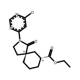 CCOC(=O)[C@@H]1CCC[C@]2(CCN(c3cc(Cl)ncn3)C2=O)C1